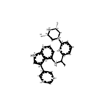 CC(Nc1ccnc2[nH]cc(-c3cncnc3)c12)c1cccc(N2C[C@@H](C)N[C@@H](C)C2)n1